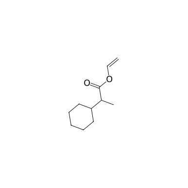 C=COC(=O)C(C)C1CCCCC1